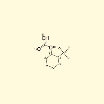 CC(C)(C)C1CCCCC1OC(=O)O